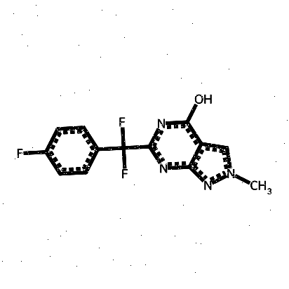 Cn1cc2c(O)nc(C(F)(F)c3ccc(F)cc3)nc2n1